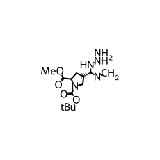 C=NC(NNN)[C@@H]1CC(C(=O)OC)N(C(=O)OC(C)(C)C)C1